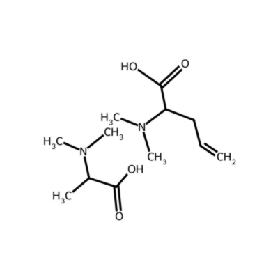 C=CCC(C(=O)O)N(C)C.CC(C(=O)O)N(C)C